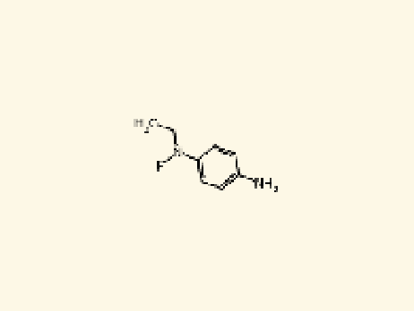 CCN(F)c1ccc(N)cc1